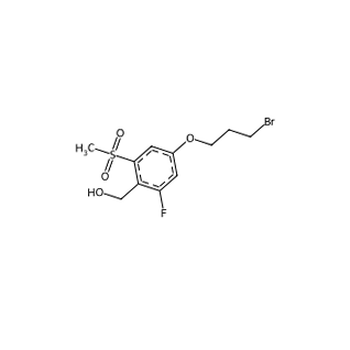 CS(=O)(=O)c1cc(OCCCBr)cc(F)c1CO